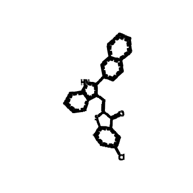 O=C1C(=Cc2c(-c3ccc4ccccc4c3)[nH]c3ccccc23)Sc2ccc(Cl)cc21